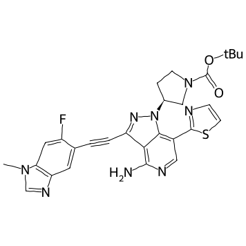 Cn1cnc2cc(C#Cc3nn([C@H]4CCN(C(=O)OC(C)(C)C)C4)c4c(-c5nccs5)cnc(N)c34)c(F)cc21